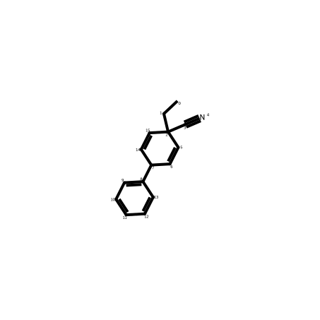 CCC1(C#N)C=CC(c2ccccc2)C=C1